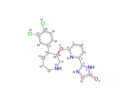 O=c1[nH]c(-c2cccc(O[C@H]3CNCCOC3c3ccc(Cl)c(Cl)c3)n2)no1